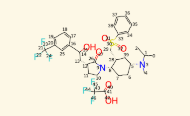 CC(C)N(C)[C@@H]1CC[C@H](N2CC[C@H](CC(O)c3cccc(C(F)(F)F)c3)C2=O)[C@H](CS(=O)(=O)c2ccccc2)C1.O=C(O)C(F)(F)F